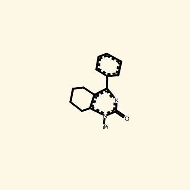 CC(C)n1c2c(c(-c3ccccc3)nc1=O)CCCC2